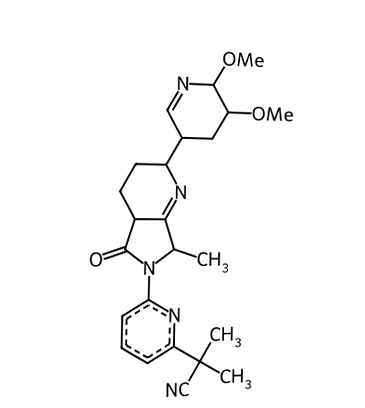 COC1CC(C2CCC3C(=O)N(c4cccc(C(C)(C)C#N)n4)C(C)C3=N2)C=NC1OC